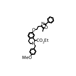 CCOC(=O)C1c2cc(OCCc3nc(-c4ccccc4)oc3C)ccc2CCN1Cc1ccc(OC)cc1